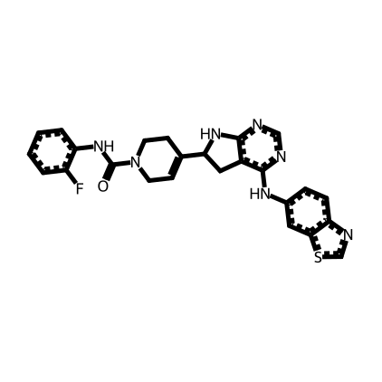 O=C(Nc1ccccc1F)N1CC=C(C2Cc3c(Nc4ccc5ncsc5c4)ncnc3N2)CC1